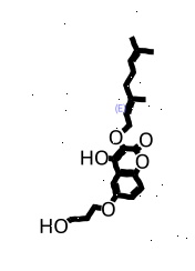 CC(C)=CCC/C(C)=C/COc1c(O)c2cc(OCCCO)ccc2oc1=O